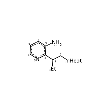 CCCCCCCCC(CC)c1ncccc1N